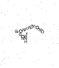 O=Cc1ccc(N2CC3(CC(N4CCN(Cc5ccc(N6CCOCC6)cc5)CC4)C3)C2)cc1Oc1cnc2[nH]cc(F)c2c1